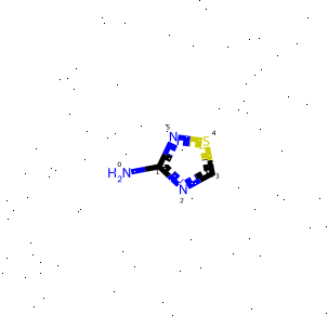 Nc1n[c]sn1